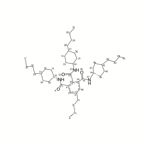 CCCCc1cc(C(=O)NC2CCC(CCCC)CC2)c(C(=O)NC2CCC(CCCC)CC2)c(C(=O)NC2CCC(CCCC)CC2)c1